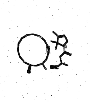 C=C(CC(C)C=O)[C@H]1CC=C(C)C1(C)C.CC1CC#CCCCCCCCCCC(=O)C1